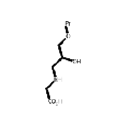 CC(C)OCC(O)CNCC(=O)O